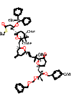 C=C1C[C@@H](C[C@]2(OC)O[C@H](C[C@H](CC(=O)SC(C)(C)C)O[Si](c3ccccc3)(c3ccccc3)C(C)(C)C)C[C@H](OC(C)=O)C2(C)C)O[C@@H](C=CC(C)(C)[C@]2(OC)O[C@H](C[C@@H](OCc3ccc(OC)cc3)[C@@H](C)OCOCc3ccccc3)CCC2=O)C1